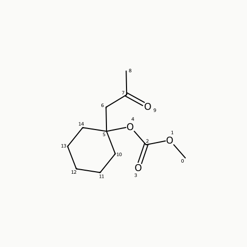 COC(=O)OC1(CC(C)=O)CCCCC1